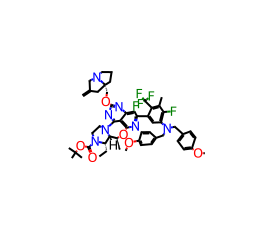 C=C1CN2CCC[C@@]2(COc2nc3c4c(nc(-c5cc(N(Cc6ccc(OC)cc6)Cc6ccc(OC)cc6)c(F)c(C)c5C(F)(F)F)c(F)c4n2)O[C@@H](C)[C@@H]2[C@H](CC)N(C(=O)OC(C)(C)C)CCN32)C1